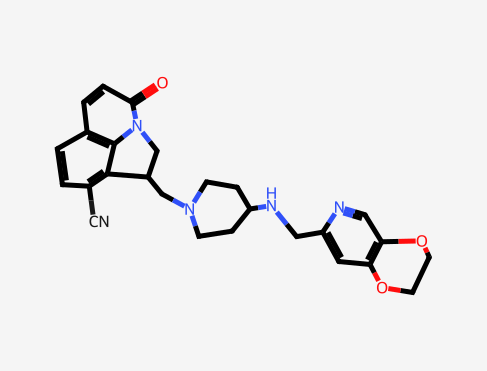 N#Cc1ccc2ccc(=O)n3c2c1C(CN1CCC(NCc2cc4c(cn2)OCCO4)CC1)C3